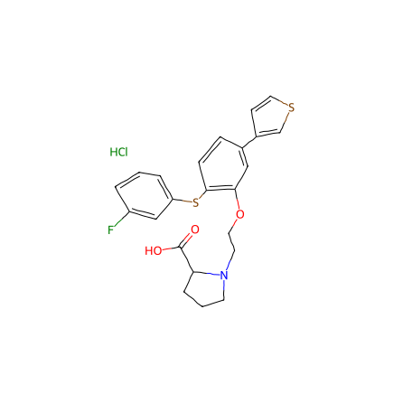 Cl.O=C(O)C1CCCN1CCOc1cc(-c2ccsc2)ccc1Sc1cccc(F)c1